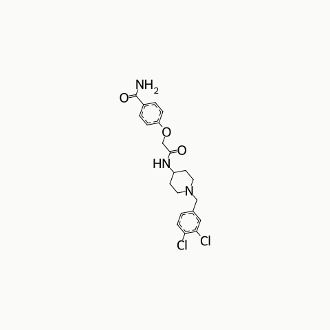 NC(=O)c1ccc(OCC(=O)NC2CCN(Cc3ccc(Cl)c(Cl)c3)CC2)cc1